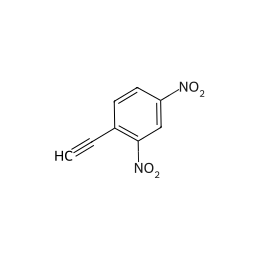 C#Cc1ccc([N+](=O)[O-])cc1[N+](=O)[O-]